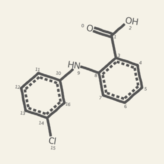 O=C(O)c1ccccc1Nc1cccc(Cl)c1